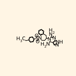 CCc1ccc(S(=O)(=O)N2CCC(N3C(N)=Nc4[nH]ncc4C3N)Cc3ccccc32)cc1